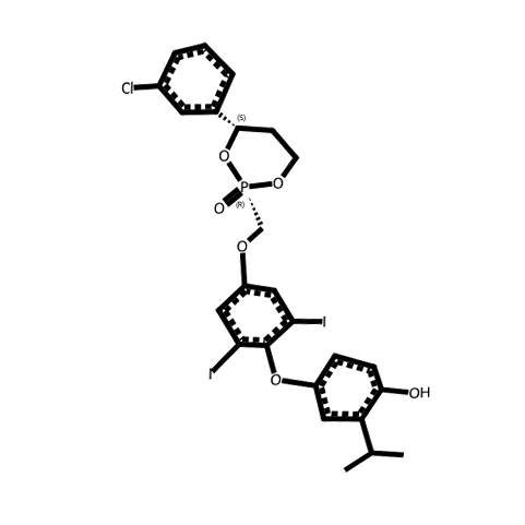 CC(C)c1cc(Oc2c(I)cc(OC[P@@]3(=O)OCC[C@@H](c4cccc(Cl)c4)O3)cc2I)ccc1O